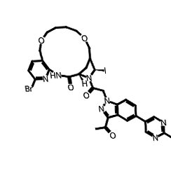 CC(=O)c1nn(CC(=O)N2[C@H](I)C3COCCCCOCc4ccc(Br)nc4NC(=O)[C@@H]2C3)c2ccc(-c3cnc(C)nc3)cc12